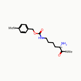 CNC(=O)[C@@H](N)CCCCNC(=O)OCc1ccc(NC)cc1